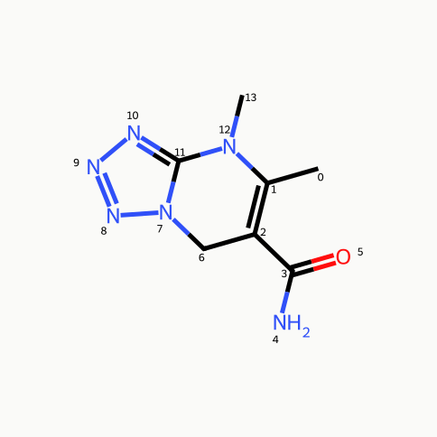 CC1=C(C(N)=O)Cn2nnnc2N1C